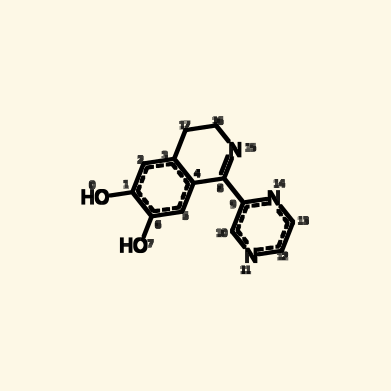 Oc1cc2c(cc1O)C(c1cnccn1)=NCC2